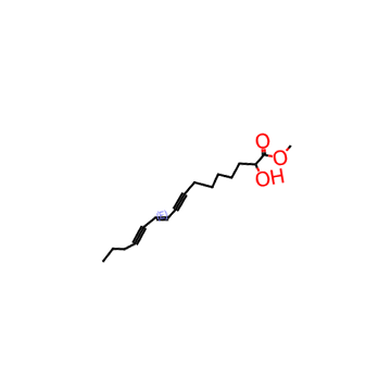 CCCC#C/C=C/C#CCCCCCC(O)C(=O)OC